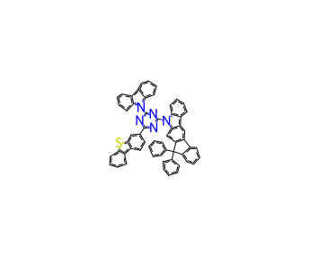 c1ccc(C2(c3ccccc3)c3ccccc3-c3cc4c5ccccc5n(-c5nc(-c6ccc7c(c6)sc6ccccc67)nc(-n6c7ccccc7c7ccccc76)n5)c4cc32)cc1